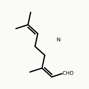 CC(C)=CCCC(C)=CC=O.[N]